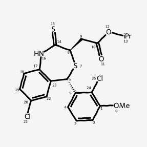 COc1cccc([C@H]2S[C@H](CC(=O)OC(C)C)C(=S)Nc3ccc(Cl)cc32)c1Cl